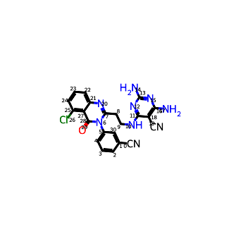 N#Cc1cccc(-n2c(CCNc3nc(N)nc(N)c3C#N)nc3cccc(Cl)c3c2=O)c1